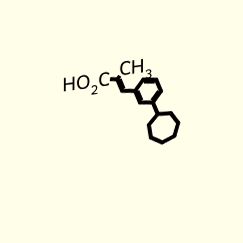 CC(=Cc1cccc(C2CCCCCC2)c1)C(=O)O